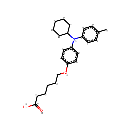 Cc1ccc(N(c2ccc(OCCCCCC(=O)O)cc2)C2CCCCC2)cc1